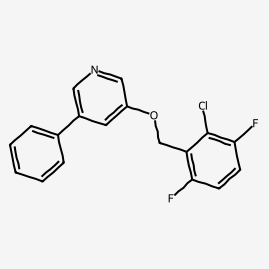 Fc1ccc(F)c(COc2cncc(-c3ccccc3)c2)c1Cl